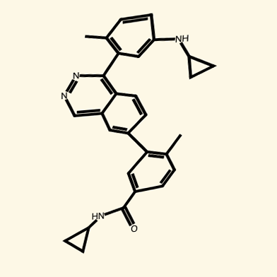 Cc1ccc(C(=O)NC2CC2)cc1-c1ccc2c(-c3cc(NC4CC4)ccc3C)nncc2c1